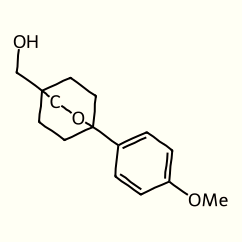 COc1ccc(C23CCC(CO)(CC2)CO3)cc1